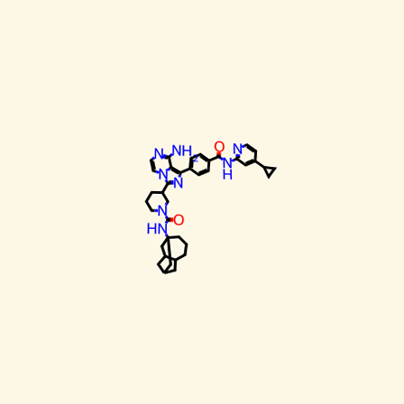 Nc1nccn2c(C3CCCN(C(=O)NC45CCCC6CC(CC6C4)C5)C3)nc(-c3ccc(C(=O)Nc4cc(C5CC5)ccn4)cc3)c12